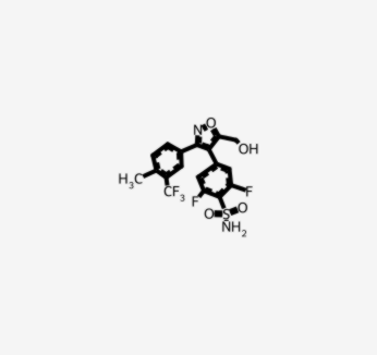 Cc1ccc(-c2noc(CO)c2-c2cc(F)c(S(N)(=O)=O)c(F)c2)cc1C(F)(F)F